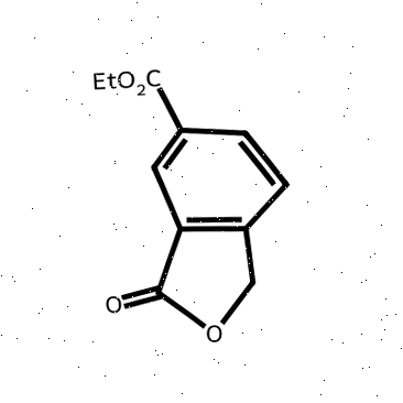 CCOC(=O)c1ccc2c(c1)C(=O)OC2